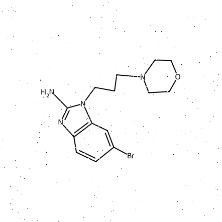 Nc1nc2ccc(Br)cc2n1CCCN1CCOCC1